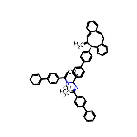 C=C1/C=c2/cccc/c2=C/Cc2ccccc2[C@H]1c1ccc(-c2ccc([C@@H](/N=C(\C)c3ccc(-c4ccccc4)cc3)N(C)/C(=C\C)c3ccc(C4=CCCC=C4)cc3)cc2)cc1